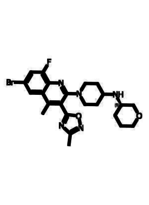 Cc1noc(-c2c(N3CCC(N[C@@H]4CCCOC4)CC3)nc3c(F)cc(Br)cc3c2C)n1